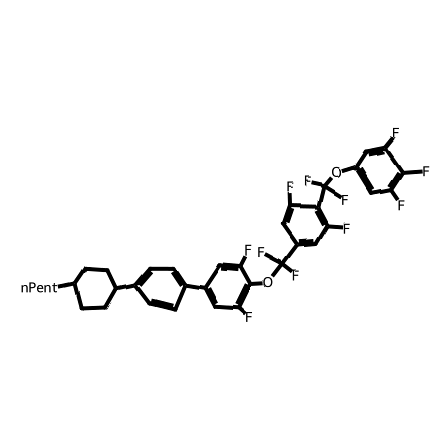 CCCCCC1CCC(c2ccc(-c3cc(F)c(OC(F)(F)c4cc(F)c(C(F)(F)Oc5cc(F)c(F)c(F)c5)c(F)c4)c(F)c3)cc2)CC1